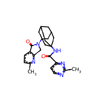 Cc1ccc2c(n1)CN(C13CC4CC(CC(NC(=O)c5ccnc(C)n5)(C4)C1)C3)C2=O